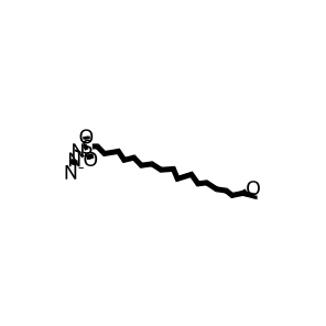 [N-]=[N+]=NS(=O)(=O)CCCCCCCCCCCCCCCCC1CO1